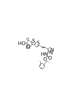 Cc1ccccc1C(C)OC(=O)Nc1c(C#Cc2cc3c(Cl)c(C4(C(=O)O)CC4)sc3s2)cnn1C